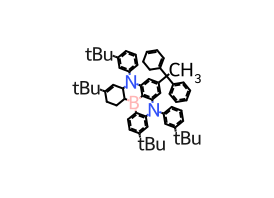 CC(C)(C)C1=CC2C(CC1)B1c3ccc(C(C)(C)C)cc3N(c3cccc(C(C)(C)C)c3)c3cc(C(C)(C4=CC=CCC4)c4ccccc4)cc(c31)N2c1cccc(C(C)(C)C)c1